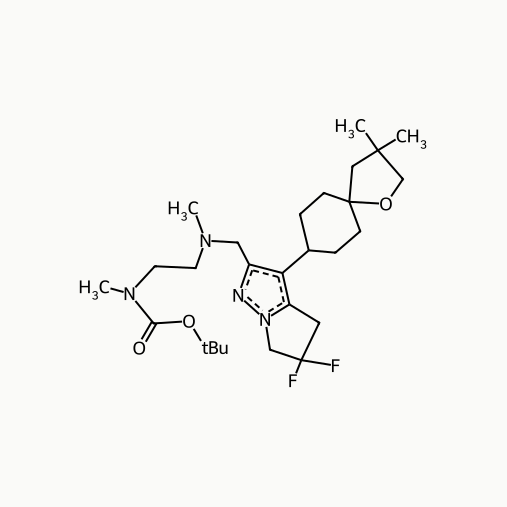 CN(CCN(C)C(=O)OC(C)(C)C)Cc1nn2c(c1C1CCC3(CC1)CC(C)(C)CO3)CC(F)(F)C2